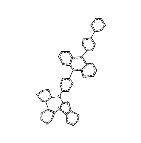 c1ccc(-c2ccc(-c3c4ccccc4c(-c4ccc(N5c6ccccc6-c6ccccc6-n6c5nc5ccccc56)cc4)c4ccccc34)cc2)cc1